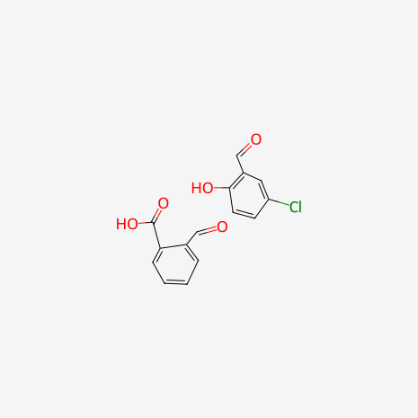 O=Cc1cc(Cl)ccc1O.O=Cc1ccccc1C(=O)O